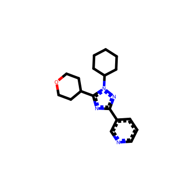 [c]1cncc(-c2nc(C3CCOCC3)n(C3CCCCC3)n2)c1